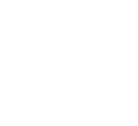 O=C(O)N1CCC(Nc2nccc(-n3nnc4ccccc43)n2)CC1